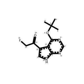 CC(C)(C)Oc1ncnc2[nH]cc(C(=O)CF)c12